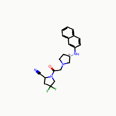 N#CC1CC(F)(F)CN1C(=O)CN1CC[C@H](Nc2ccc3ccccc3c2)C1